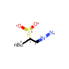 CCCCC(C=[N+]=[N-])[SH](=O)=O